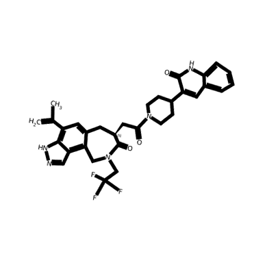 C=C(C)c1cc2c(c3cn[nH]c13)CN(CC(F)(F)F)C(=O)[C@H](CC(=O)N1CCC(c3cc4ccccc4[nH]c3=O)CC1)C2